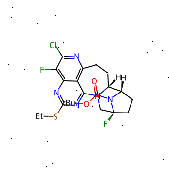 CCSc1nc2c3c(nc(Cl)c(F)c3n1)CC[C@@H]1[C@@H]3CC[C@](F)(CN21)N3C(=O)OC(C)(C)C